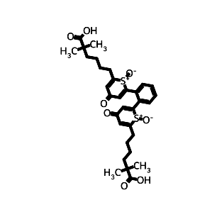 CC(C)(CCCCc1cc(=O)cc(-c2ccccc2-c2cc(=O)cc(CCCCC(C)(C)C(=O)O)[s+]2[O-])[s+]1[O-])C(=O)O